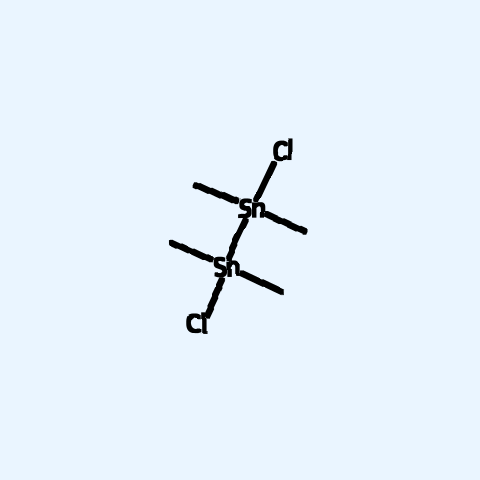 [CH3][Sn]([CH3])([Cl])[Sn]([CH3])([CH3])[Cl]